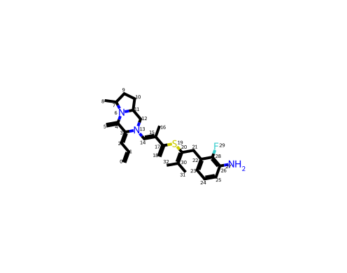 C=C/C=C1/C(=C)N2C(C)CCC2CN1/C=C(\C)C(=C)SC(Cc1cccc(N)c1F)=C(C)C